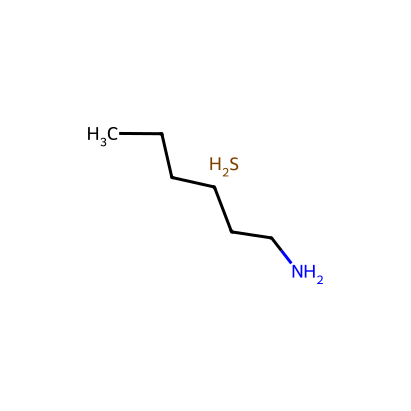 CCCCCCN.S